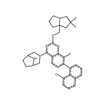 Fc1c(-c2cccc3cccc(Cl)c23)ncc2c(N3CC4CCC(C3)N4)nc(OCC34CCCN3CC(F)(F)C4)nc12